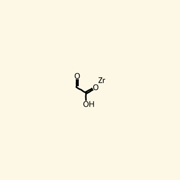 O=CC(=O)O.[Zr]